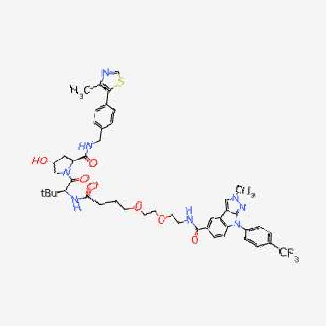 Cc1ncsc1-c1ccc(CNC(=O)[C@@H]2C[C@@H](O)CN2C(=O)[C@@H](NC(=O)CCCOCCOCCNC(=O)c2ccc3c(c2)c2cn(C)nc2n3-c2ccc(C(F)(F)F)cc2)C(C)(C)C)cc1